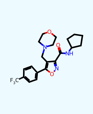 O=C(NC1CCCC1)c1noc(-c2ccc(C(F)(F)F)cc2)c1CN1CCOCC1